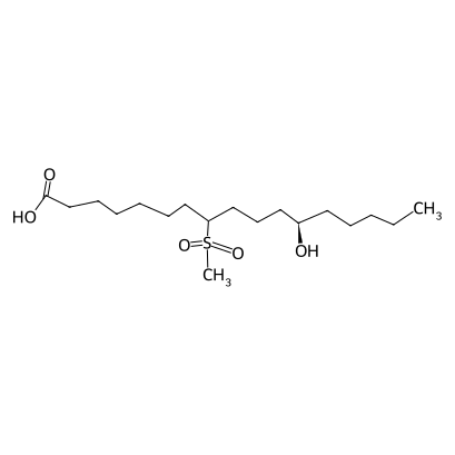 CCCCC[C@@H](O)CCCC(CCCCCCC(=O)O)S(C)(=O)=O